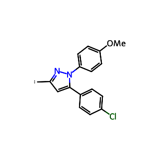 [CH]c1cc(-c2ccc(Cl)cc2)n(-c2ccc(OC)cc2)n1